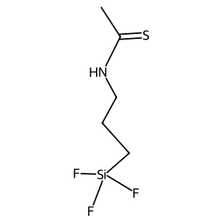 CC(=S)NCCC[Si](F)(F)F